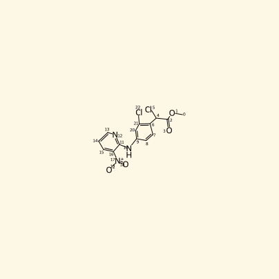 COC(=O)C(Cl)c1ccc(Nc2ncccc2[N+](=O)[O-])cc1Cl